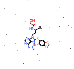 Nc1ncnc2c1nc(Sc1cc3c(cc1Br)OCO3)n2CCC(NC(=O)CO)C1CC1